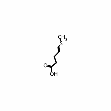 CSC=CCCC(=O)O